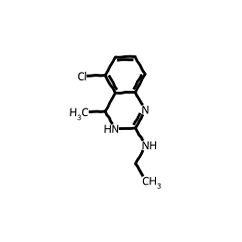 CCNC1=Nc2cccc(Cl)c2C(C)N1